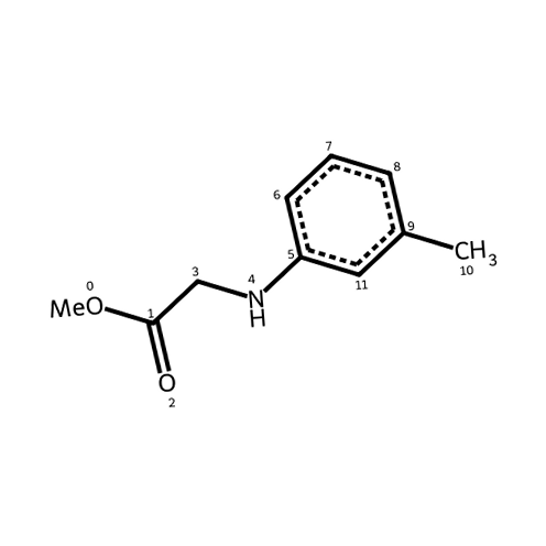 COC(=O)CNc1cccc(C)c1